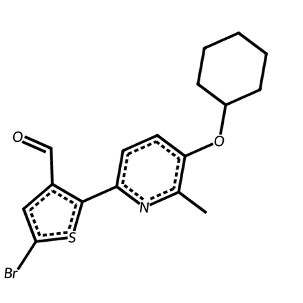 Cc1nc(-c2sc(Br)cc2C=O)ccc1OC1CCCCC1